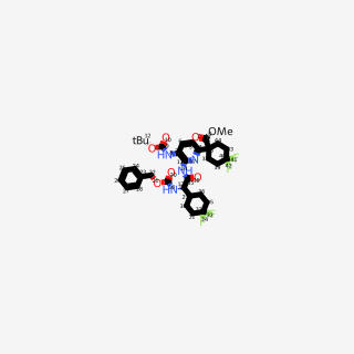 COC(=O)C1(c2ccc(NC(=O)OC(C)(C)C)c(NC(=O)[C@@H](NC(=O)OCc3ccccc3)C3CCC(F)(F)CC3)n2)CCC(F)(F)CC1